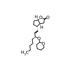 CCCCC[C@@H](/C=C/[C@@H]1CC[C@H]2OC(=O)C[C@@H]12)OC1CCCCO1